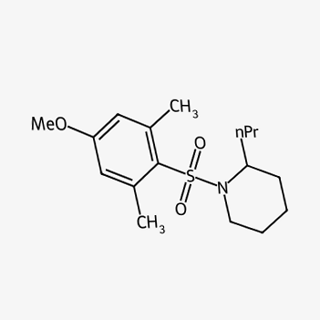 CCCC1CCCCN1S(=O)(=O)c1c(C)cc(OC)cc1C